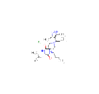 CCCCN1C(=O)[C@H](CC(C)C)NC(=O)C12CCN(C(CC)c1c(C)n[nH]c1C)CC2.Cl